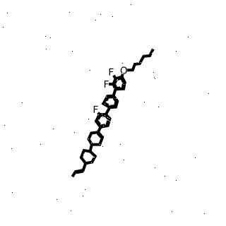 C/C=C/C1CCC(C2CC=C(c3ccc(-c4ccc(-c5ccc(OCCCCCC)c(F)c5F)cc4)c(F)c3)CC2)CC1